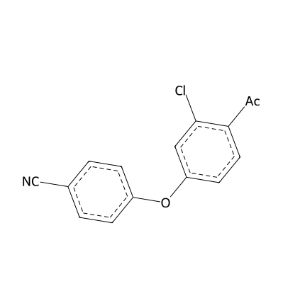 CC(=O)c1ccc(Oc2ccc(C#N)cc2)cc1Cl